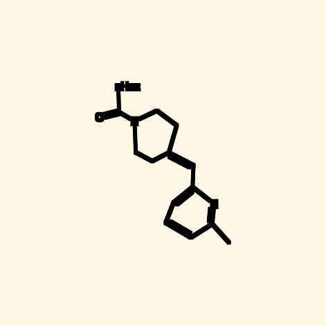 CCCCCCC(=O)N1CCC(=Cc2cccc(C)n2)CC1